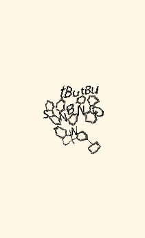 CC(C)(C)c1ccc2c(c1)B1c3cc(C(C)(C)C)ccc3N(c3cccc4sc5ccccc5c34)c3cc(N4c5ccc(-c6ccccc6)cc5C5(C)CCc6ccccc6C45C)cc(c31)N2c1cccc2oc3ccccc3c12